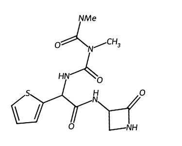 CNC(=O)N(C)C(=O)NC(C(=O)NC1CNC1=O)c1cccs1